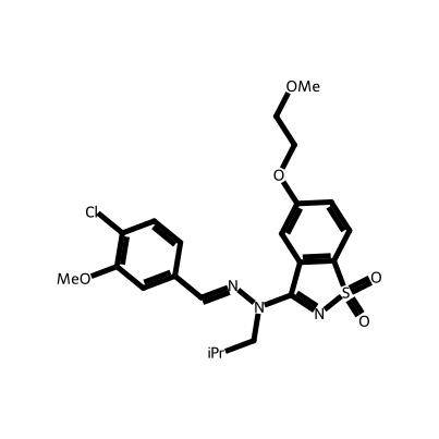 COCCOc1ccc2c(c1)C(N(CC(C)C)/N=C/c1ccc(Cl)c(OC)c1)=NS2(=O)=O